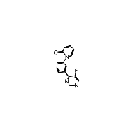 O=c1ccccn1-c1cccc(-c2ncncc2F)c1